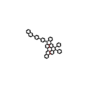 c1ccc(-c2c(-c3ccccc3)c3cc(-c4ccccc4N(c4ccc(-c5ccc(-c6ccc7ccccc7c6)cc5)cc4)c4ccc(-c5ccc6ccccc6c5)cc4)ccc3c3ccccc23)cc1